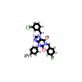 CC(C)c1ccc(-n2c(=O)n(Cc3ccc(F)cc3)c(=O)c3c2ncn3Cc2cccc(Cl)c2)cc1